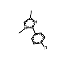 Cc1cn(C)c(-c2ccc(Cl)cc2)n1